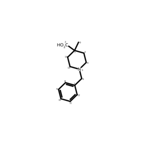 CC1(C(=O)O)CCN(Cc2ccccc2)CC1